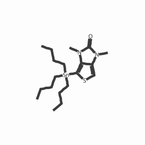 CCC[CH2][Sn]([CH2]CCC)([CH2]CCC)[c]1scc2c1n(C)c(=O)n2C